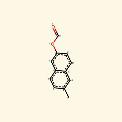 Cc1ccc2cc(O[C]=O)ccc2c1